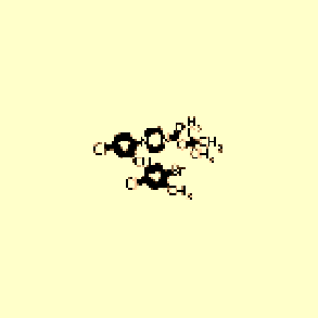 Cc1cc(Cl)ccc1Br.Cc1cc(Cl)ccc1N1CCN(C(=O)OC(C)(C)C)CC1